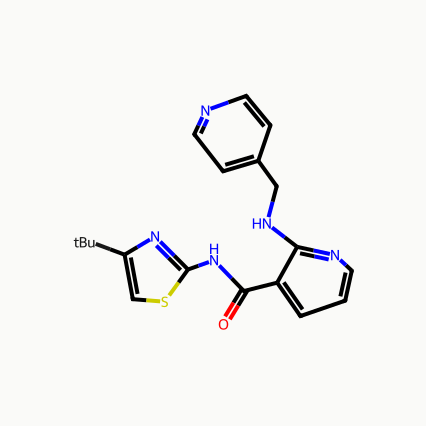 CC(C)(C)c1csc(NC(=O)c2cccnc2NCc2ccncc2)n1